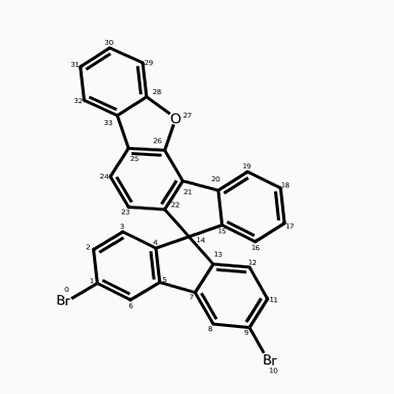 Brc1ccc2c(c1)-c1cc(Br)ccc1C21c2ccccc2-c2c1ccc1c2oc2ccccc21